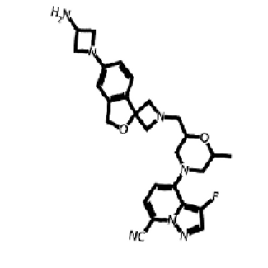 CC1CN(c2ccc(C#N)n3ncc(F)c23)CC(CN2CC3(C2)OCc2cc(N4CC(N)C4)ccc23)O1